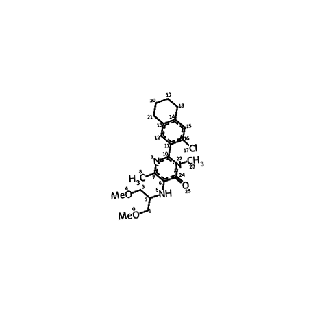 COCC(COC)Nc1c(C)nc(-c2cc3c(cc2Cl)CCCC3)n(C)c1=O